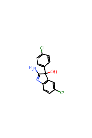 NC1=Nc2ccc(Cl)cc2C1(O)c1ccc(Cl)cc1